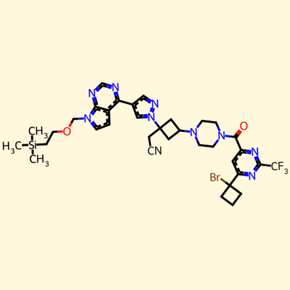 C[Si](C)(C)CCOCn1ccc2c(-c3cnn(C4(CC#N)CC(N5CCN(C(=O)c6cc(C7(Br)CCC7)nc(C(F)(F)F)n6)CC5)C4)c3)ncnc21